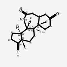 C[C@]12CCC(=O)CC1CC(=O)N[C@@H]1[C@@H]2CC[C@]2(C)C(=O)CC[C@@H]12